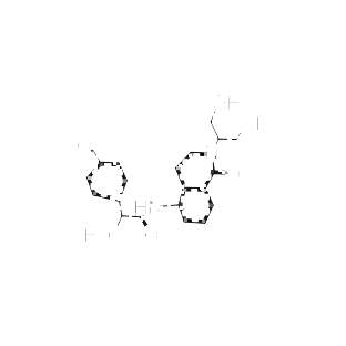 CC(C(=O)Nc1cccc2c(=O)n(C(CO)CO)ccc12)c1ccc(Cl)cc1